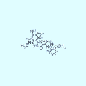 COc1cccc(F)c1-c1nccc(C(=O)Nc2ccc3c(ccn3C)c2N2CCCC2CN)n1